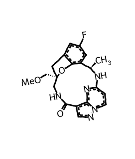 COC[C@@]12CNC(=O)c3cnn4ccc(nc34)N[C@H](C)c3cc(F)cc(c3O1)C2